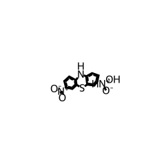 O=[N+]([O-])c1ccc2c(c1)Sc1cc([NH+]([O-])O)ccc1N2